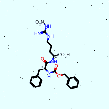 N=C(NCCC[C@H](NC(=O)[C@H](Cc1ccccc1)NC(=O)OCc1ccccc1)C(=O)O)N[N+](=O)[O-]